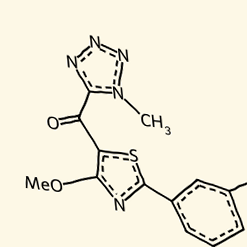 COc1nc(-c2cccc(F)c2)sc1C(=O)c1nnnn1C